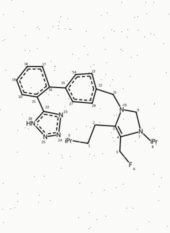 CC(C)CCC1=C(CF)N(C(C)C)CN1Cc1ccc(-c2ccccc2-c2nnn[nH]2)cc1